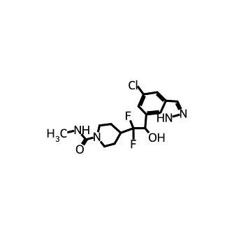 CNC(=O)N1CCC(C(F)(F)C(O)c2cc(Cl)cc3cn[nH]c23)CC1